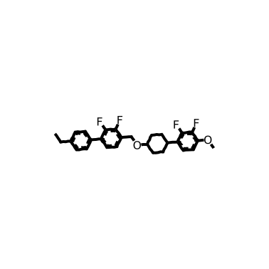 CCc1ccc(-c2ccc(COC3CCC(c4ccc(OC)c(F)c4F)CC3)c(F)c2F)cc1